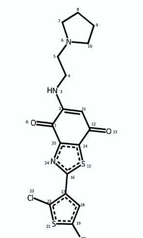 O=C1C(NCCN2CCCC2)=CC(=O)c2sc(-c3cc(Cl)sc3Cl)nc21